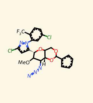 COC1C(N=[N+]=[N-])[C@H]2OC(c3ccccc3)OCC2O[C@H]1c1cc(Cl)nn1-c1cc(Cl)ccc1C(F)(F)F